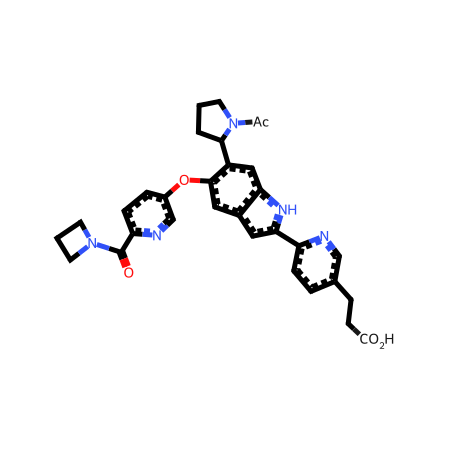 CC(=O)N1CCCC1c1cc2[nH]c(-c3ccc(CCC(=O)O)cn3)cc2cc1Oc1ccc(C(=O)N2CCC2)nc1